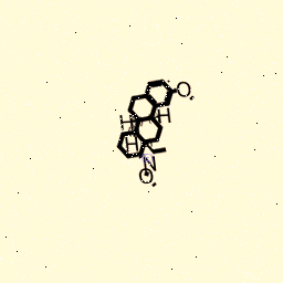 CC[C@]12CC[C@@H]3c4cc(OC)[c]cc4CC[C@H]3[C@@H]1CCC/C2=N\OC